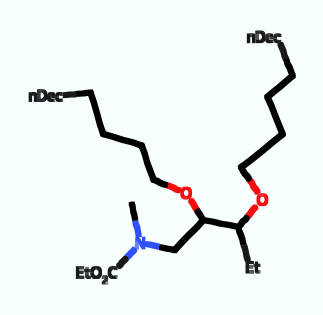 CCCCCCCCCCCCCCOC(CC)C(CN(C)C(=O)OCC)OCCCCCCCCCCCCCC